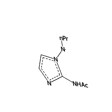 CCC[N]n1ccnc1NC(C)=O